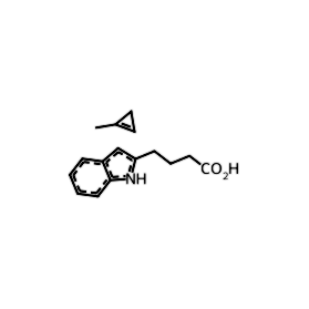 CC1=CC1.O=C(O)CCCc1cc2ccccc2[nH]1